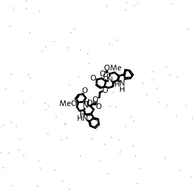 COC(=O)[C@@H]1Cc2c([nH]c3ccccc23)[C@@H]2CC[C@@]3(OCCOC(=O)[C@@]4(O)Cc5c([nH]c6ccccc56)[C@@H]5CC[C@@]6(OC)C=CC(=O)C[C@H]6N54)C=CC(=O)C[C@H]3N12